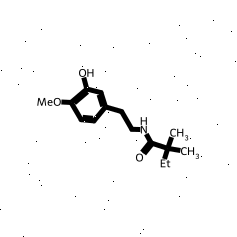 CCC(C)(C)C(=O)NCCc1ccc(OC)c(O)c1